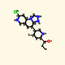 CCC(=O)c1cc(C)c(-c2cc3cnc(Cl)cc3n3cnnc23)cn1